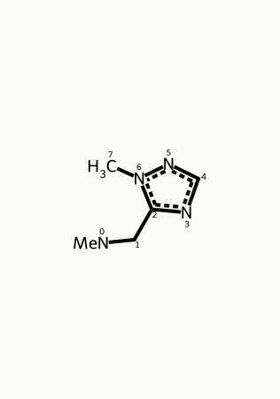 CNCc1ncnn1C